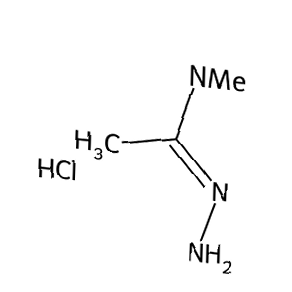 CNC(C)=NN.Cl